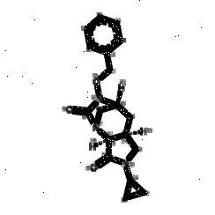 O=C1[C@@H]2[C@@H](C[C@@H]3CN2C(=O)N3OCc2ccccc2)CN1C1CC1